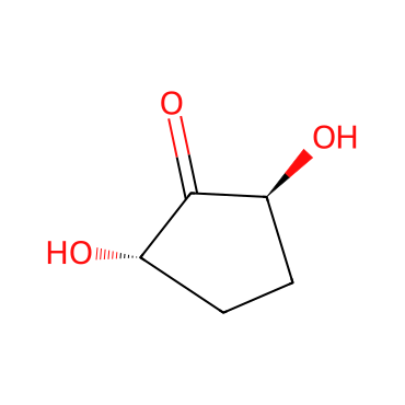 O=C1[C@@H](O)CC[C@@H]1O